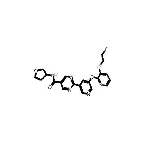 O=C(NC1CCOC1)c1cnc(-c2cncc(Oc3ncccc3OCCF)c2)nc1